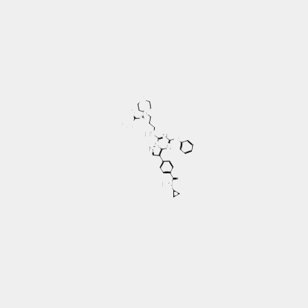 O=C(NC1CC1)c1ccc(-c2cnn3c(NCCC[N+]4(OC(=O)C(F)(F)F)CCOCC4)nc(Oc4ccccc4)nc23)cc1